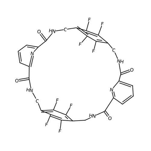 O=C1NCc2c(F)c(F)c(c(F)c2F)CNC(=O)c2cccc(n2)C(=O)NCc2c(F)c(F)c(c(F)c2F)CNC(=O)c2cccc1n2